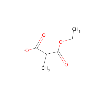 CCOC(=O)C(C)C([O])=O